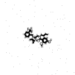 CCCCN(Cc1nc(C)c(C)n1Cc1ccccc1C(F)(F)F)C(=O)c1ccc(OC)cc1OC